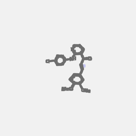 COc1ccc(/C=C/C(=O)c2cccnc2Nc2ccc(Cl)cc2)cc1OC